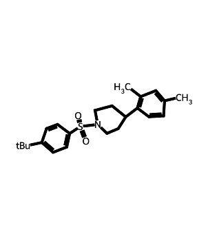 Cc1ccc(C2CCN(S(=O)(=O)c3ccc(C(C)(C)C)cc3)CC2)c(C)c1